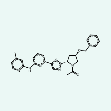 CC(=O)N1C[C@H](OCc2ccccc2)C[C@H]1c1ncc(-c2cccc(Nc3cc(C)ccn3)n2)s1